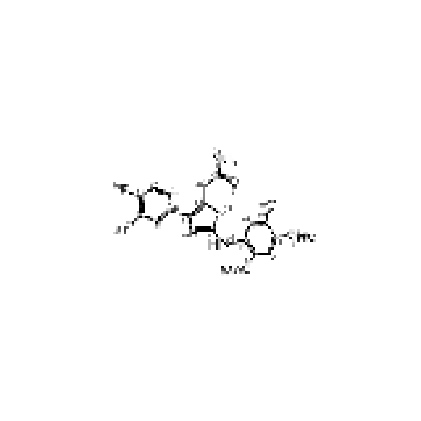 COc1cc(OC)c(Nc2nc(-c3ccc(F)c(F)c3)c(CC(N)=O)s2)cc1Cl